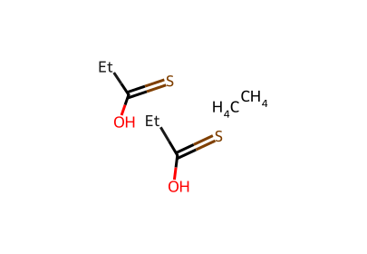 C.C.CCC(O)=S.CCC(O)=S